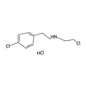 Cl.ClCCNCCc1ccc(Cl)cc1